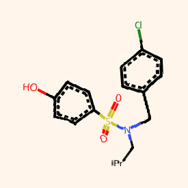 CC(C)CN(Cc1ccc(Cl)cc1)S(=O)(=O)c1ccc(O)cc1